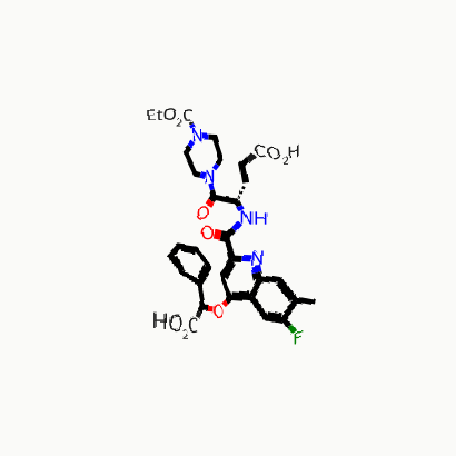 CCOC(=O)N1CCN(C(=O)[C@H](CCC(=O)O)NC(=O)c2cc(OC(C(=O)O)c3ccccc3)c3cc(F)c(C)cc3n2)CC1